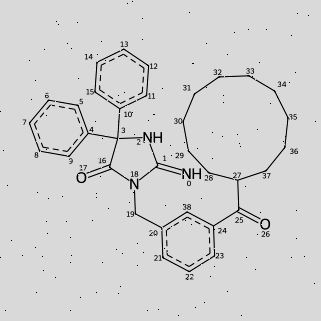 N=C1NC(c2ccccc2)(c2ccccc2)C(=O)N1Cc1cccc(C(=O)C2CCCCCCCCCC2)c1